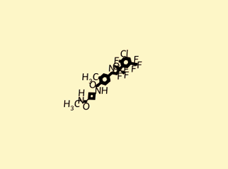 CNC(=O)[C@H]1C[C@@H](NC(=O)c2ccc(C3=NO[C@@](c4cc(C(F)(F)F)cc(Cl)c4F)(C(F)(F)F)C3)cc2C)C1